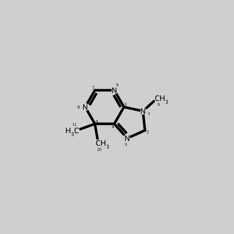 CN1CN=C2C1=NC=NC2(C)C